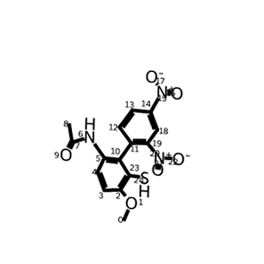 COc1ccc(NC(C)=O)c(-c2ccc([N+](=O)[O-])cc2[N+](=O)[O-])c1S